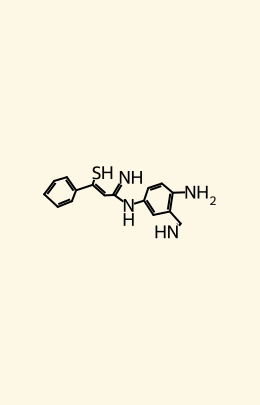 N=Cc1cc(NC(=N)/C=C(\S)c2ccccc2)ccc1N